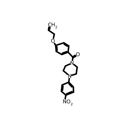 C=CCOc1ccc(C(=O)N2CCN(c3ccc([N+](=O)[O-])cc3)CC2)cc1